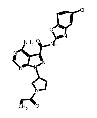 C=CC(=O)N1CCC(n2nc(C(=O)Nc3nc4cc(Cl)ccc4o3)c3c(N)ncnc32)C1